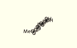 COC(=O)C1CCC(C(=O)OC2CCC(OC(=O)C3CCC(C(O)O)CC3)CC2)CC1